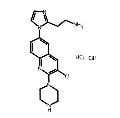 Cl.Cl.NCCc1nccn1-c1ccc2nc(N3CCNCC3)c(Cl)cc2c1